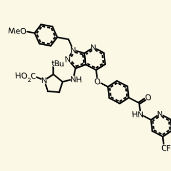 COc1ccc(Cn2nc(NC3CCN(C(=O)O)C3C(C)(C)C)c3c(Oc4ccc(C(=O)Nc5cc(C(F)(F)F)ccn5)cc4)ccnc32)cc1